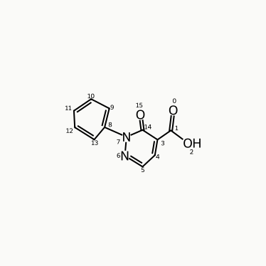 O=C(O)c1ccnn(-c2ccccc2)c1=O